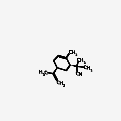 C=C(C)[C@H]1CC=C(C)[C@H](C(C)(C)C#N)C1